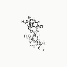 C[C@H]1[C@H]2CCC[C@@H]([C@@H](O)C(F)(F)F)[C@@H]2CCN1C(=O)Cc1c(Cl)cnc([C@@](C)(O)C(F)F)c1Cl